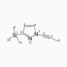 CC#Cn1ccc([Si](C)(C)C)n1